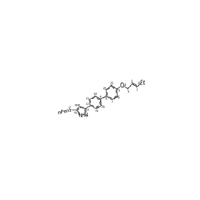 CCC=CCOc1ccc(-c2ccc(-c3nnc(CCCCC)s3)cc2)cc1